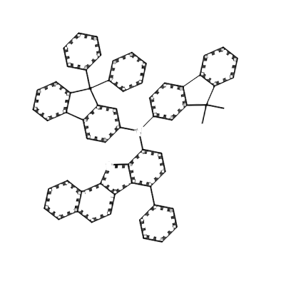 CC1(C)c2ccccc2-c2ccc(N(c3ccc4c(c3)C(c3ccccc3)(c3ccccc3)c3ccccc3-4)c3ccc(-c4ccccc4)c4c3oc3c5ccccc5ccc34)cc21